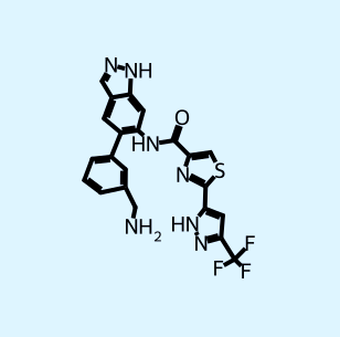 NCc1cccc(-c2cc3cn[nH]c3cc2NC(=O)c2csc(-c3cc(C(F)(F)F)n[nH]3)n2)c1